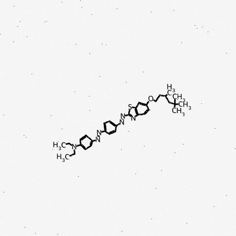 CCN(CC)c1ccc(/N=N/c2ccc(/N=N/c3nc4ccc(OCCC(C)CC(C)(C)C)cc4s3)cc2)cc1